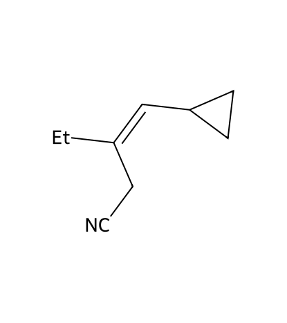 CC/C(=C/C1CC1)CC#N